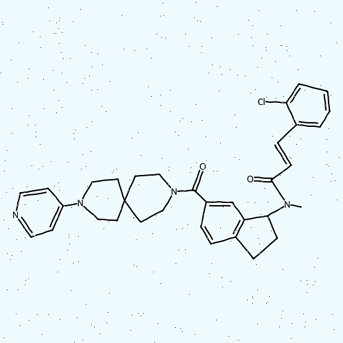 CN(C(=O)/C=C/c1ccccc1Cl)C1CCc2ccc(C(=O)N3CCC4(CC3)CCN(c3ccncc3)CC4)cc21